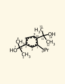 CC(C)c1cc(C(C)(C)O)ccc1C(C)(C)O